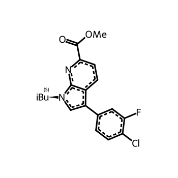 CC[C@H](C)n1cc(-c2ccc(Cl)c(F)c2)c2ccc(C(=O)OC)nc21